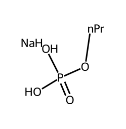 CCCOP(=O)(O)O.[NaH]